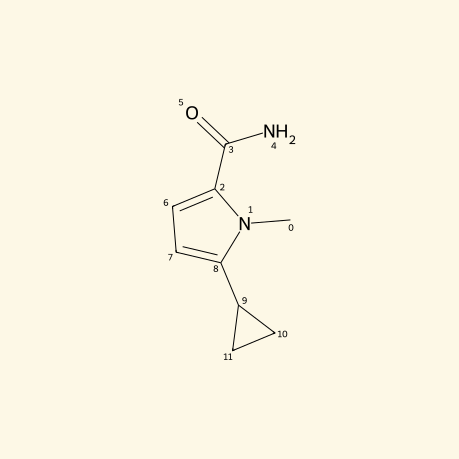 Cn1c(C(N)=O)ccc1C1CC1